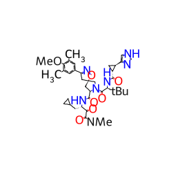 CNC(=O)C(=O)[C@H](CC1CC1)NC(=O)C1C[C@]2(CC(c3cc(C)c(OC)c(C)c3)=NO2)CN1C(=O)[C@@H](NC(=O)[C@@H]1C[C@H]1c1c[nH]cn1)C(C)(C)C